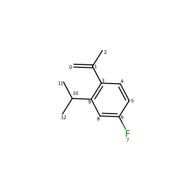 C=C(C)c1ccc(F)cc1C(C)C